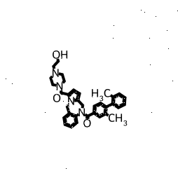 Cc1ccccc1-c1ccc(C(=O)N2Cc3ccc(C(=O)N4CCN(CCO)CC4)n3Cc3ccccc32)cc1C